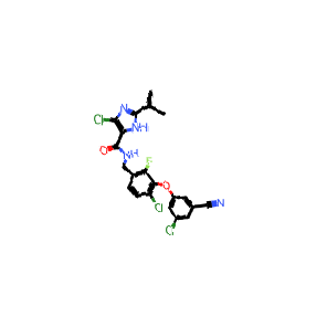 CC(C)c1nc(Cl)c(C(=O)NCc2ccc(Cl)c(Oc3cc(Cl)cc(C#N)c3)c2F)[nH]1